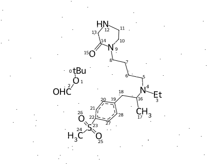 CC(C)(C)OC=O.CCN(CCCCN1CCNCC1=O)C(C)Cc1ccc(S(C)(=O)=O)cc1